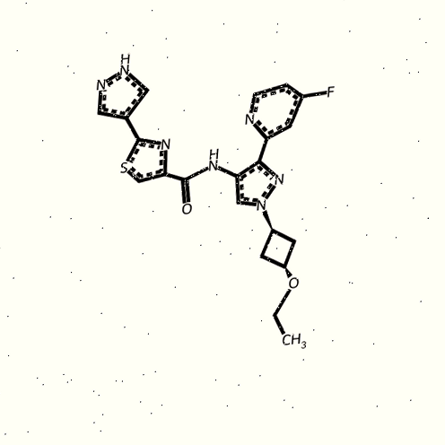 CCO[C@H]1C[C@@H](n2cc(NC(=O)c3csc(-c4cn[nH]c4)n3)c(-c3cc(F)ccn3)n2)C1